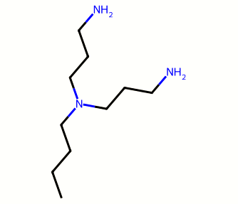 CCCCN(CCCN)CCCN